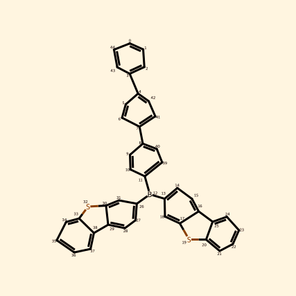 c1ccc(-c2ccc(-c3ccc(B(c4ccc5c(c4)sc4ccccc45)c4ccc5c(c4)sc4ccccc45)cc3)cc2)cc1